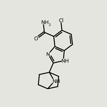 NC(=O)c1c(Cl)ccc2[nH]c(C34CCC(CC3)N4)nc12